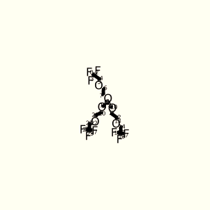 FC(F)(F)COCCOP(OCCOCC(F)(F)F)OCCOCC(F)(F)F